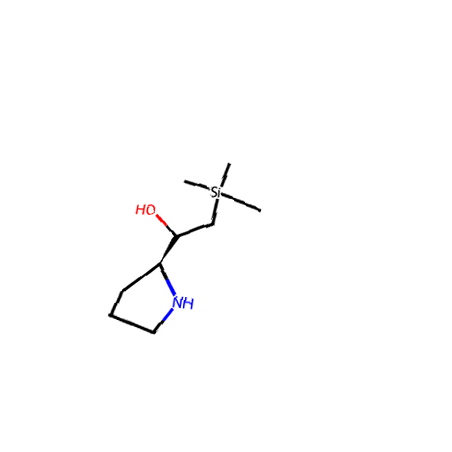 C[Si](C)(C)CC(O)[C@@H]1CCCN1